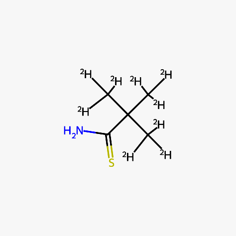 [2H]C([2H])([2H])C(C(N)=S)(C([2H])([2H])[2H])C([2H])([2H])[2H]